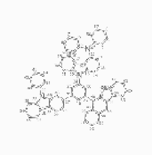 c1ccc(N(c2ccccc2)c2cccc3c2c2ccccc2n3-c2cc(-c3ccc4c5ccccc5n(-c5ccccc5)c4c3)cc(-c3c4ccccc4cc4c3sc3ccccc34)c2)cc1